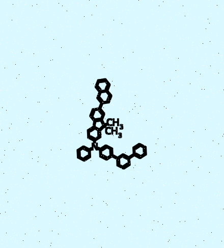 CC1(C)c2cc(-c3ccc4ccccc4c3)ccc2-c2ccc(N(c3ccccc3)c3ccc(-c4cccc(-c5ccccc5)c4)cc3)cc21